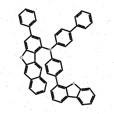 c1ccc(-c2ccc(N(c3ccc(-c4cccc5c4sc4ccccc45)cc3)c3cc(-c4ccccc4)cc4oc5cc6ccccc6cc5c34)cc2)cc1